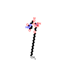 CCCCCCCCCCCCCCCCCOCCCOP(=O)(O)COC(CO)Cn1ccc(=O)[nH]c1=O